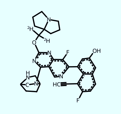 [2H]C([2H])(Oc1nc(N2CC3CCC2CN3)c2cnc(-c3cc(O)cc4ccc(F)c(C#C)c34)c(F)c2n1)C12CCCN1CCC2